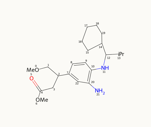 COCC(CC(=O)OC)c1ccc(NC(C(C)C)C2CCCCC2)c(N)c1